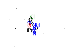 CC(C)n1cncc1-c1ccnc(N[C@@H](C)c2cc3cc(Cl)ccc3n(C)c2=O)n1